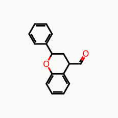 O=CC1CC(c2ccccc2)Oc2ccccc21